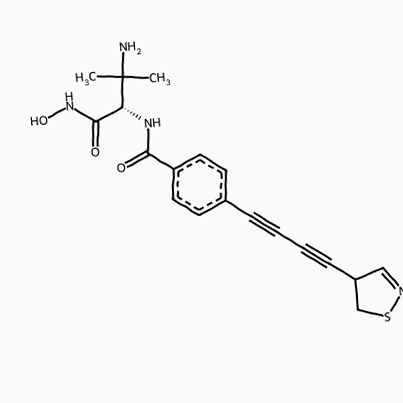 CC(C)(N)[C@H](NC(=O)c1ccc(C#CC#CC2C=NSC2)cc1)C(=O)NO